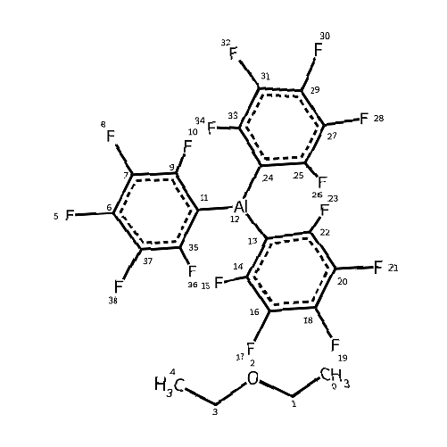 CCOCC.Fc1c(F)c(F)[c]([Al]([c]2c(F)c(F)c(F)c(F)c2F)[c]2c(F)c(F)c(F)c(F)c2F)c(F)c1F